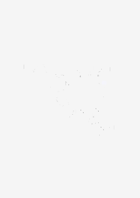 CN(C)C(=O)CN1CC/C=C/[C@H](O)[C@@H]2CC[C@H]2CN2C[C@@]3(CCCc4cc(Cl)ccc43)COc3ccc(cc32)C(=O)NS1(=O)=O